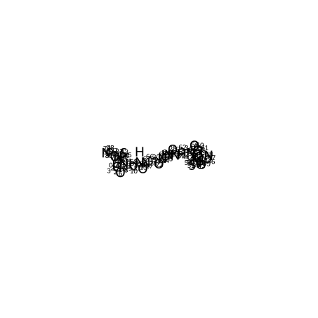 CC(C)(C)OC(=O)[C@H](Cc1ccc(NC(=O)N2CCC(CC(=O)N3CCN(C(=O)Nc4ccc(C[C@H](NC(=O)[C@H]5N(S(=O)(=O)c6cccnc6)CSC5(C)C)C(=O)OC(C)(C)C)cc4)CC3)CC2)cc1)NC(=O)[C@H]1N(Oc2cccnc2)CSC1(C)C